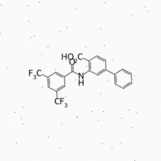 O=C(Nc1cc(-c2ccccc2)ccc1C(=O)O)c1cc(C(F)(F)F)cc(C(F)(F)F)c1